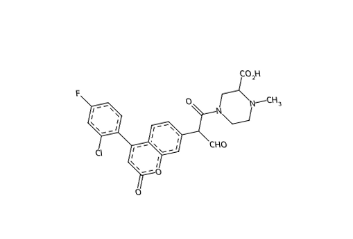 CN1CCN(C(=O)C(C=O)c2ccc3c(-c4ccc(F)cc4Cl)cc(=O)oc3c2)CC1C(=O)O